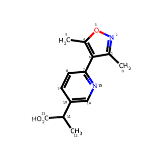 Cc1noc(C)c1-c1ccc(C(C)C(=O)O)cn1